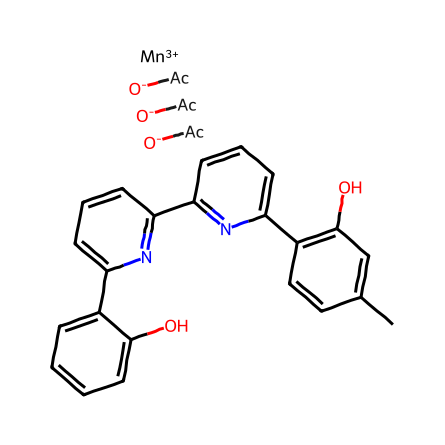 CC(=O)[O-].CC(=O)[O-].CC(=O)[O-].Cc1ccc(-c2cccc(-c3cccc(-c4ccccc4O)n3)n2)c(O)c1.[Mn+3]